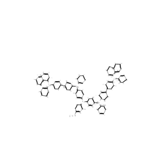 CCC(C)c1ccc(N(c2ccc(N(c3ccccc3)c3ccc(-c4ccc(N(c5ccccc5)c5cccc6ccccc56)cc4)cc3)cc2)c2ccc(N(c3ccccc3)c3ccc(-c4ccc(N(c5ccccc5)c5cccc6ccccc56)cc4)cc3)cc2)cc1